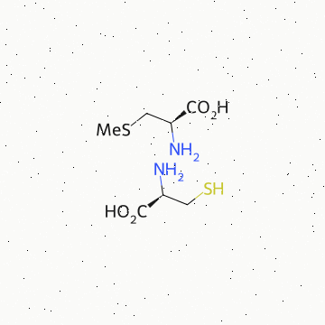 CSC[C@H](N)C(=O)O.N[C@@H](CS)C(=O)O